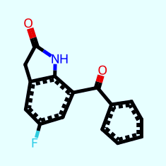 O=C1Cc2cc(F)cc(C(=O)c3ccccc3)c2N1